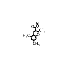 Cc1cc(C)c2c(c1)OC(C(F)(F)F)C(C(=O)OCl)=C2